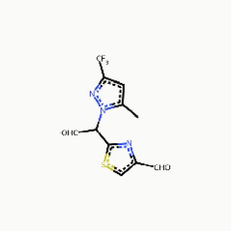 Cc1cc(C(F)(F)F)nn1C([C]=O)c1nc(C=O)cs1